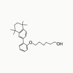 CC1(C)CCC(C)(C)c2cc(-c3ccccc3OCCCCCCO)ccc21